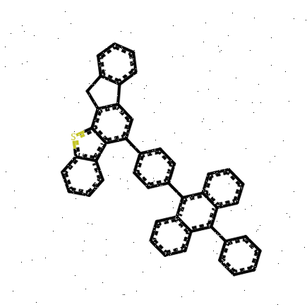 c1ccc(-c2c3ccccc3c(-c3ccc(-c4cc5c(c6sc7ccccc7c46)Cc4ccccc4-5)cc3)c3ccccc23)cc1